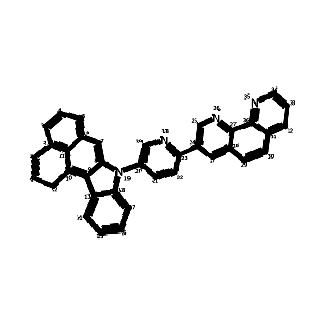 C1=Cc2cccc3cc4c(c(c23)C1)c1ccccc1n4-c1ccc(-c2cnc3c(ccc4cccnc43)c2)nc1